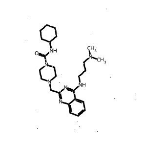 CN(C)CCCNc1nc(CN2CCN(C(=O)NC3CCCCC3)CC2)nc2ccccc12